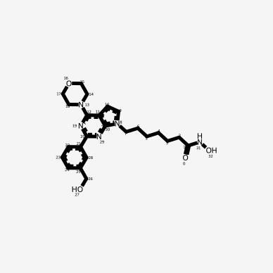 O=C(CCCCCCn1ccc2c(N3CCOCC3)nc(-c3cccc(CO)c3)nc21)NO